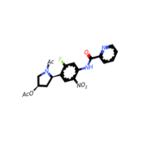 CC(=O)O[C@@H]1C[C@H](c2cc([N+](=O)[O-])c(NC(=O)c3ccccn3)cc2F)N(C(C)=O)C1